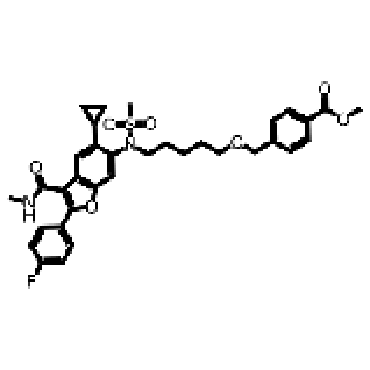 CNC(=O)c1c(-c2ccc(F)cc2)oc2cc(N(CCCCCOCc3ccc(C(=O)OC)cc3)S(C)(=O)=O)c(C3CC3)cc12